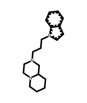 c1ccc2c(c1)ccn2CCCN1CCN2CCCCC2C1